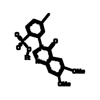 CCOS(=O)(=O)c1ccc(C)cc1-n1cnc2cc(OC)c(OC)cc2c1=O